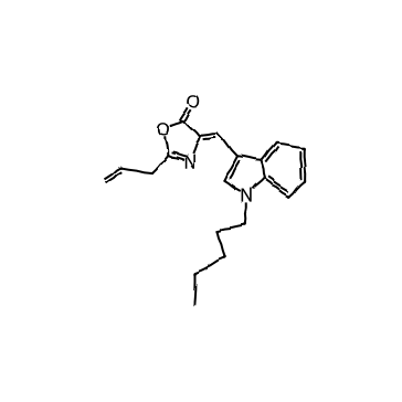 C=CCC1=NC(=Cc2cn(CCCCC)c3ccccc23)C(=O)O1